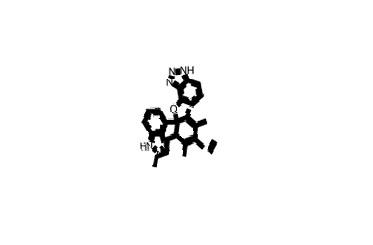 C=C.CCCCC1C(C)=C(C)C(C)=C(C)C1(Oc1cccc2[nH]nnc12)c1cccc2[nH]nnc12